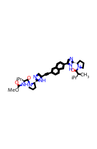 COC(=O)N[C@H](C(=O)N1CCC[C@H]1c1ncc(C#Cc2ccc3cc(-c4cnc([C@@H]5CCCN5C(=O)[C@@H](C)C(C)C)[nH]4)ccc3c2)[nH]1)C(C)C